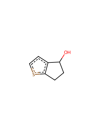 OC1CCc2sccc21